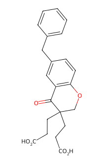 O=C(O)CCC1(CCC(=O)O)COc2ccc(Cc3ccccc3)cc2C1=O